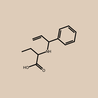 C=CC(NC(CC)C(=O)O)c1ccccc1